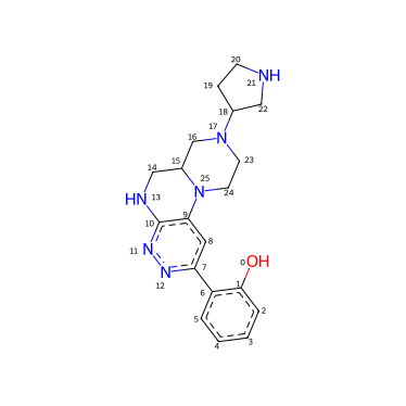 Oc1ccccc1-c1cc2c(nn1)NCC1CN(C3CCNC3)CCN21